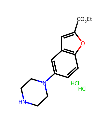 CCOC(=O)c1cc2cc(N3CCNCC3)ccc2o1.Cl.Cl